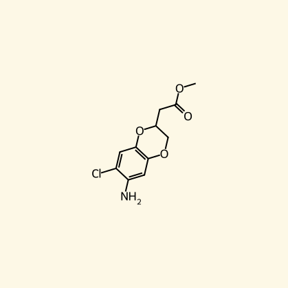 COC(=O)CC1COc2cc(N)c(Cl)cc2O1